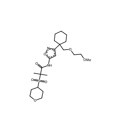 COCCOCC1(c2cc(NC(=O)C(C)(C)S(=O)(=O)C3CCOCC3)on2)CCCCC1